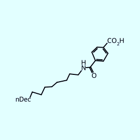 CCCCCCCCCCCCCCCCCCNC(=O)c1ccc(C(=O)O)cc1